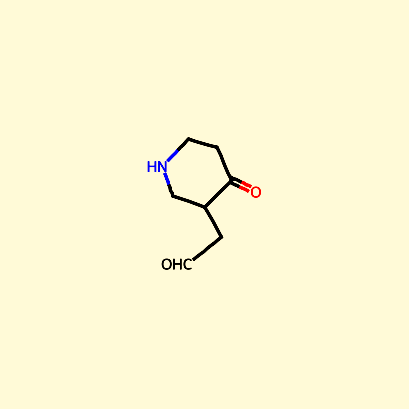 O=CCC1CNCCC1=O